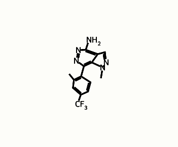 Cc1cc(C(F)(F)F)ccc1-c1nnc(N)c2cnn(C)c12